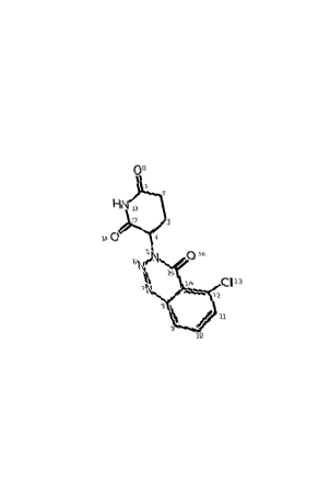 O=C1CCC(n2nnc3cccc(Cl)c3c2=O)C(=O)N1